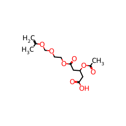 C=C(C)OCOCCOC(=O)CC(CC(=O)O)OC(C)=O